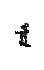 CCCCOCCOCCOCCCN(Cc1ccc(OCCCC(=O)NCC)cc1OC)C(=O)OCC1c2ccccc2-c2ccccc21